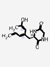 C=C/C=C(\C=C(/C)O)C[C@H]1NC(=O)CNC1=O